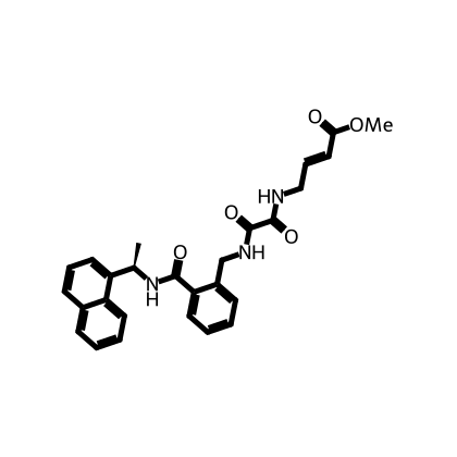 COC(=O)/C=C/CNC(=O)C(=O)NCc1ccccc1C(=O)N[C@H](C)c1cccc2ccccc12